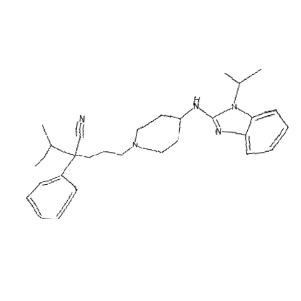 CC(C)n1c(NC2CCN(CCCC(C#N)(c3ccccc3)C(C)C)CC2)nc2ccccc21